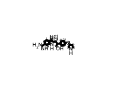 Cl.Cl.N=C(N)c1ccc2cc(CC(CO)c3ccc(O[C@H]4CCNC4)cc3)[nH]c2c1